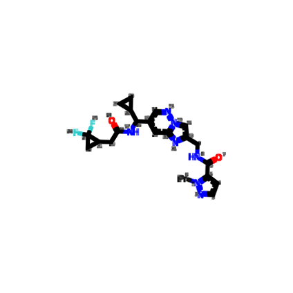 CC(C)n1nccc1C(=O)NCc1cn2ncc(C(NC(=O)CC3CC3(F)F)C3CC3)cc2n1